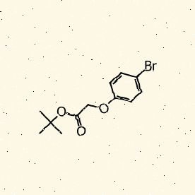 CC(C)(C)OC(=O)COc1ccc(Br)cc1